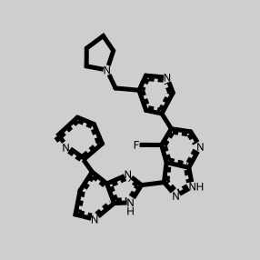 Fc1c(-c2cncc(CN3CCCC3)c2)cnc2[nH]nc(-c3nc4c(-c5ccccn5)ccnc4[nH]3)c12